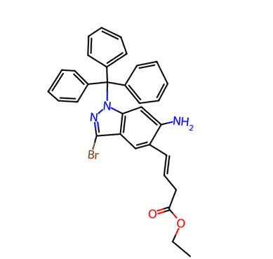 CCOC(=O)CC=Cc1cc2c(Br)nn(C(c3ccccc3)(c3ccccc3)c3ccccc3)c2cc1N